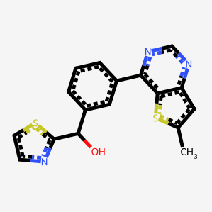 Cc1cc2ncnc(-c3cccc(C(O)c4nccs4)c3)c2s1